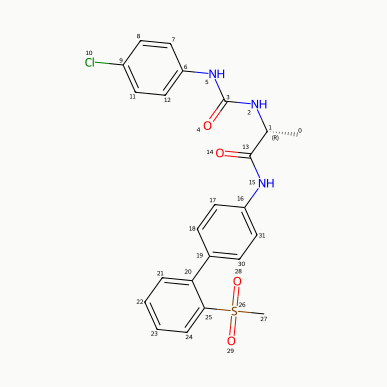 C[C@@H](NC(=O)Nc1ccc(Cl)cc1)C(=O)Nc1ccc(-c2ccccc2S(C)(=O)=O)cc1